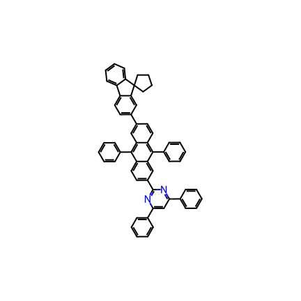 c1ccc(-c2cc(-c3ccccc3)nc(-c3ccc4c(-c5ccccc5)c5cc(-c6ccc7c(c6)C6(CCCC6)c6ccccc6-7)ccc5c(-c5ccccc5)c4c3)n2)cc1